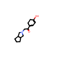 O=C(CN1CC2CCCC2C1)C1=CC=C(O)CC1